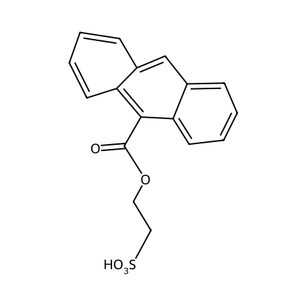 O=C(OCCS(=O)(=O)O)c1c2ccccc2cc2ccccc12